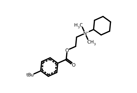 CC(C)(C)c1ccc(C(=O)OCC[N+](C)(C)C2CCCCC2)cc1